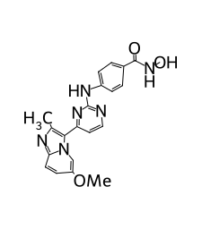 COc1ccc2nc(C)c(-c3ccnc(Nc4ccc(C(=O)NO)cc4)n3)n2c1